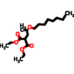 CCCCCCCCOC(C)CC(C(=O)OCC)C(=O)OCC